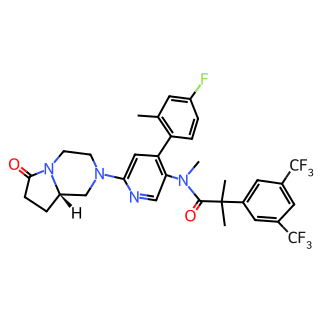 Cc1cc(F)ccc1-c1cc(N2CCN3C(=O)CC[C@H]3C2)ncc1N(C)C(=O)C(C)(C)c1cc(C(F)(F)F)cc(C(F)(F)F)c1